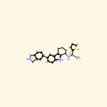 C[C@@H](NC1CCCc2c1[nH]c1ccc(-c3ccc4c(c3)CNC4)cc21)c1cccs1